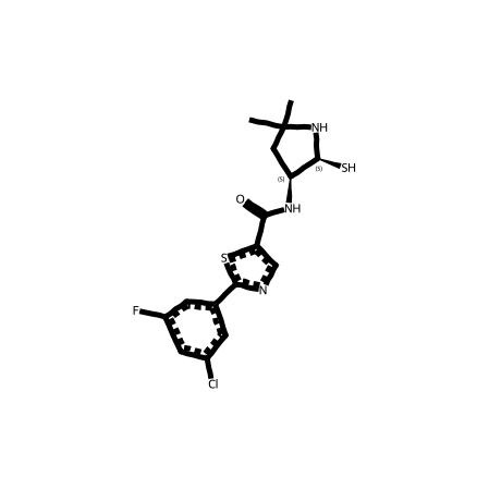 CC1(C)C[C@H](NC(=O)c2cnc(-c3cc(F)cc(Cl)c3)s2)[C@H](S)N1